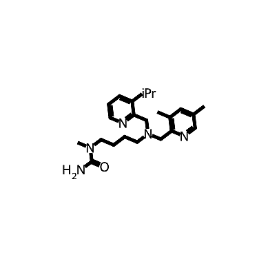 Cc1cnc(CN(CCCCN(C)C(N)=O)Cc2ncccc2C(C)C)c(C)c1